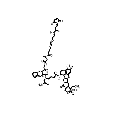 CC[C@@]1(O)C(=O)OCc2c1cc1n(c2=O)Cc2c-1nc1cc(F)c(C)c3c1c2[C@@H](NC(=O)CCCN(CC(N)=O)C(=O)[C@H](Cc1ccccc1)NC(=O)CNC(=O)CNC(=O)CCOCCOCCNC(=O)CCN1C(=O)C=CC1=O)CC3